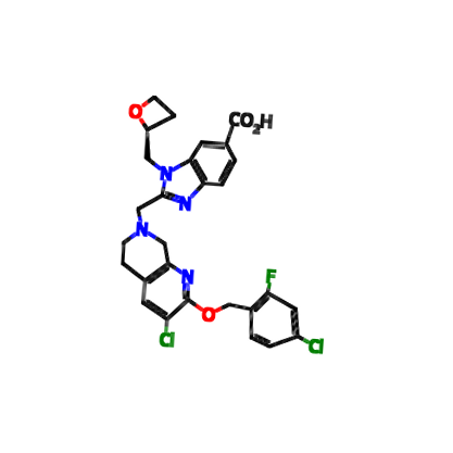 O=C(O)c1ccc2nc(CN3CCc4cc(Cl)c(OCc5ccc(Cl)cc5F)nc4C3)n(C[C@@H]3CCO3)c2c1